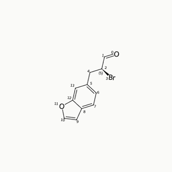 O=C[C@@H](Br)Cc1ccc2ccoc2c1